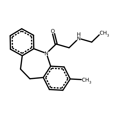 CCNCC(=O)N1c2ccccc2CCc2ccc(C)cc21